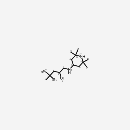 CCCC(C)(CC)CC(O)CNC1CC(C)(C)NC(C)(C)C1